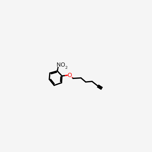 C#CCCCCOc1ccccc1[N+](=O)[O-]